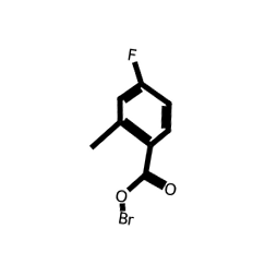 Cc1cc(F)ccc1C(=O)OBr